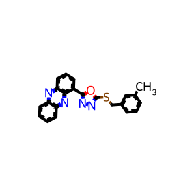 Cc1cccc(CSc2nnc(-c3cccc4nc5ccccc5nc34)o2)c1